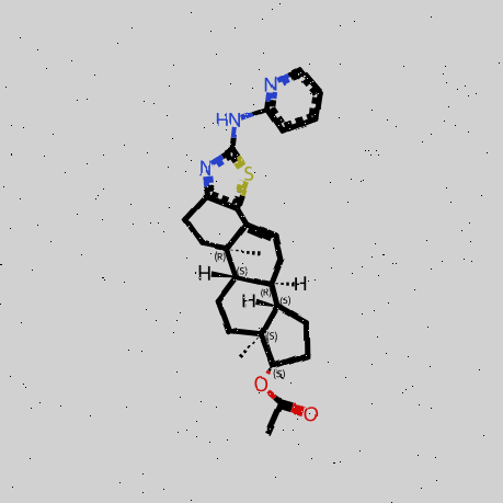 CC(=O)O[C@H]1CC[C@H]2[C@@H]3CC=C4c5sc(Nc6ccccn6)nc5CC[C@]4(C)[C@H]3CC[C@]12C